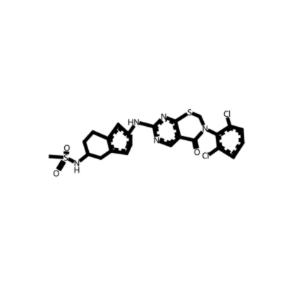 CS(=O)(=O)NC1CCc2cc(Nc3ncc4c(n3)SCN(c3c(Cl)cccc3Cl)C4=O)ccc2C1